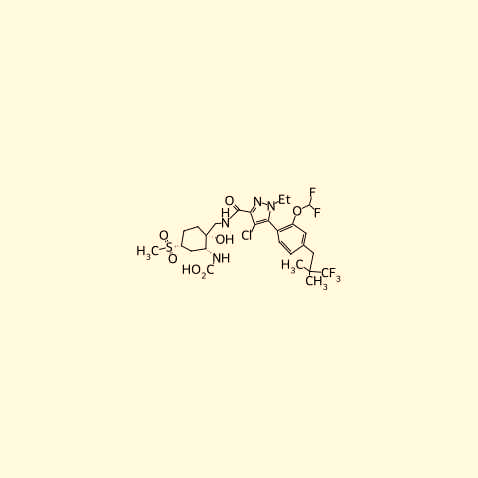 CCn1nc(C(=O)NC[C@]2(O)CC[C@@H](S(C)(=O)=O)C[C@H]2NC(=O)O)c(Cl)c1-c1ccc(CC(C)(C)C(F)(F)F)cc1OC(F)F